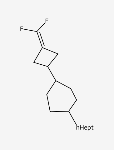 CCCCCCCC1CCC(C2CC(=C(F)F)C2)CC1